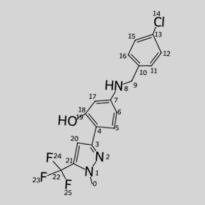 Cn1nc(-c2ccc(NCc3ccc(Cl)cc3)cc2O)cc1C(F)(F)F